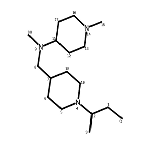 CCC(C)N1CCC(CN(C)C2CCN(C)CC2)CC1